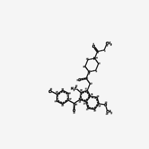 CCC(=O)N1CCN(C(=O)Cc2c(C)n(C(=O)c3ccc(Cl)cc3)c3ccc(OC)cc23)CC1